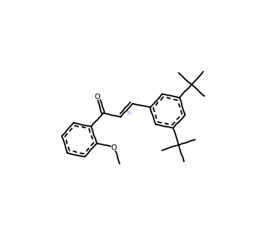 COc1ccccc1C(=O)/C=C/c1cc(C(C)(C)C)cc(C(C)(C)C)c1